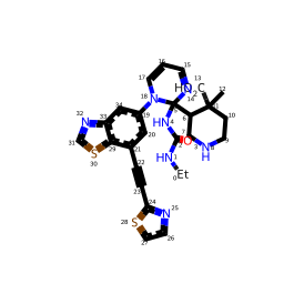 CCNC(=O)NC1(C2CNCCC2(C)C(=O)O)N=CC=CN1c1cc(C#Cc2nccs2)c2scnc2c1